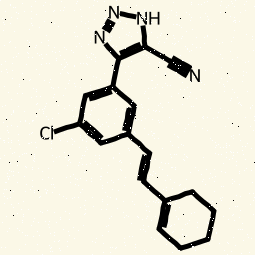 N#Cc1[nH]nnc1-c1cc(Cl)cc(/C=C/C2=CCCCC2)c1